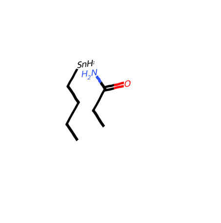 CCC(N)=O.CCC[CH2][SnH]